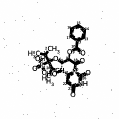 CC(C)C(O[C@@H](CO)[C@@H](OC(=O)c1ccccc1)C(=O)n1ccc(=O)[nH]c1=O)(C(C)C)P(=O)(O)O